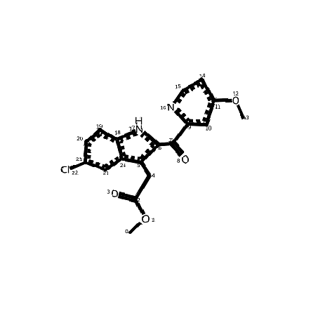 COC(=O)Cc1c(C(=O)c2cc(OC)ccn2)[nH]c2ccc(Cl)cc12